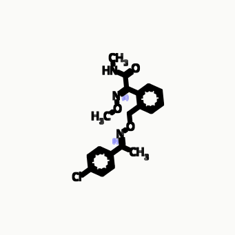 CNC(=O)/C(=N/OC)c1ccccc1CO/N=C(\C)c1ccc(Cl)cc1